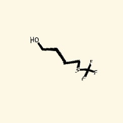 OCCCCSC(F)(F)F